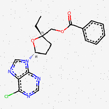 CC[C@@]1(COC(=O)c2ccccc2)CC[C@H](n2cnc3c(Cl)ncnc32)O1